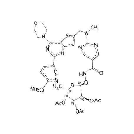 COc1ccc(-c2nc(N3CCOCC3)c3sc(CN(C)c4ncc(C(=O)NO[C@@H]5O[C@@H](C)[C@@H](OC(C)=O)[C@@H](OC(C)=O)[C@@H]5OC(C)=O)cn4)cc3n2)cn1